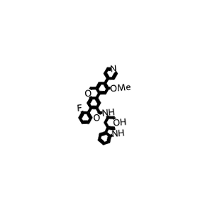 COc1cc2c(cc1-c1ccncc1)COc1cc(-c3ccccc3F)c(C(=O)NC(CO)Cc3c[nH]c4ccccc34)cc1-2